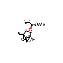 C=CC(=O)OC.CC1(C)[C@H]2C[CH][C@@]1(C)CC2